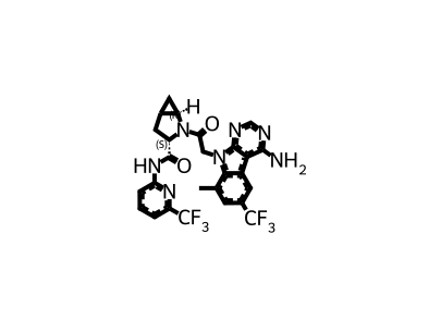 Cc1cc(C(F)(F)F)cc2c3c(N)ncnc3n(CC(=O)N3[C@@H]4CC4C[C@H]3C(=O)Nc3cccc(C(F)(F)F)n3)c12